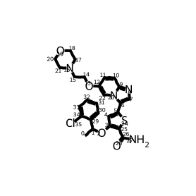 CC(Oc1cc(-c2cnc3ccc(OCCN4CCOCC4)cn23)sc1C(N)=O)c1ccccc1Cl